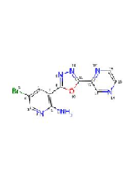 Nc1ncc(Br)cc1-c1nnc(-c2cnccn2)o1